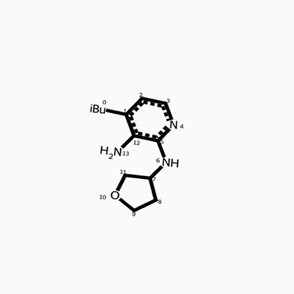 CCC(C)c1ccnc(NC2CCOC2)c1N